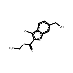 CCOC(=O)c1sc2cc(CO)ccc2c1Cl